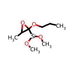 CCCOC1([Si](OC)OC)OC1C